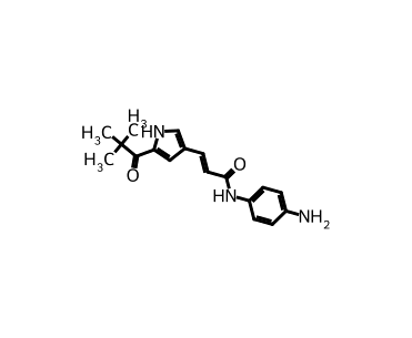 CC(C)(C)C(=O)c1cc(/C=C/C(=O)Nc2ccc(N)cc2)c[nH]1